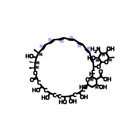 C[C@@H]1OC(=O)CC(O)CC(O)CCC(O)C(O)CC(O)CC2(O)C[C@H](O)C(C(=O)O)[C@H](CC(OC3O[C@H](C)C(O)[C@H](N)[C@@H]3O)/C=C/C=C/C=C/C=C/C=C/C=C/C=C/[C@H](C)C(O)[C@H]1C)O2